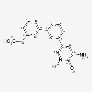 CCn1nc(-c2cccc(-c3cccc(CC(=O)O)c3)c2)cc(N)c1=O